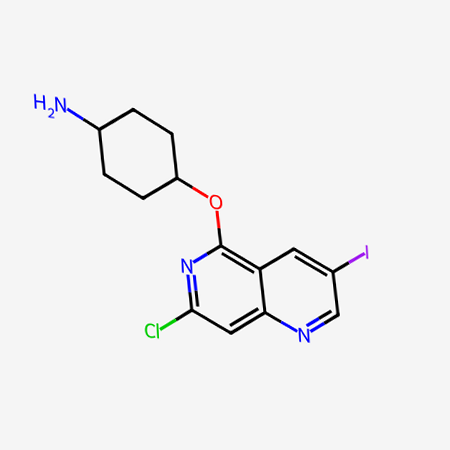 NC1CCC(Oc2nc(Cl)cc3ncc(I)cc23)CC1